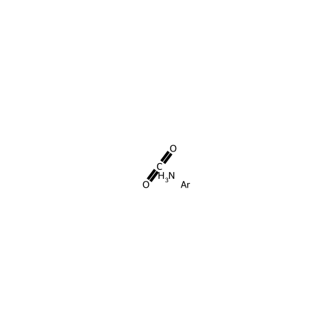 N.O=C=O.[Ar]